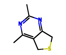 Cc1nc(C)c2c(n1)CSC2